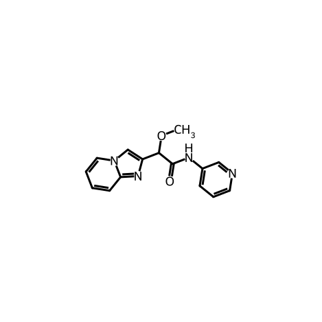 COC(C(=O)Nc1cccnc1)c1cn2ccccc2n1